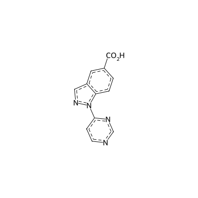 O=C(O)c1ccc2c(cnn2-c2ccncn2)c1